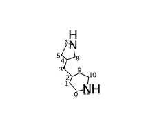 C1CC(C[C@H]2CCNC2)CCN1